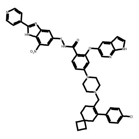 O=C(NSc1cc([N+](=O)[O-])c2[nH]c(-c3ccncc3)nc2c1)c1ccc(N2CCN(CC3=C(c4ccc(Cl)cc4)CC4(CCC4)CC3)CC2)cc1Oc1cnc2[nH]ccc2c1